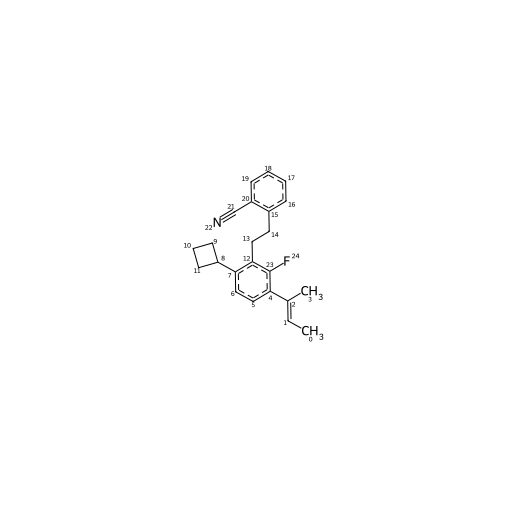 C/C=C(\C)c1ccc(C2CCC2)c(CCc2ccccc2C#N)c1F